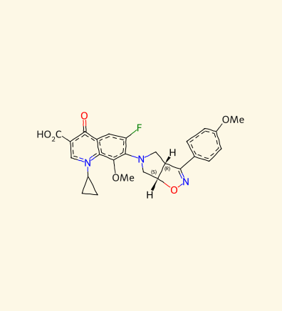 COc1ccc(C2=NO[C@@H]3CN(c4c(F)cc5c(=O)c(C(=O)O)cn(C6CC6)c5c4OC)C[C@H]23)cc1